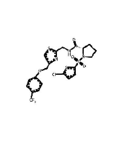 O=C(NCc1nc(COc2ccc(C(F)(F)F)cc2)cs1)[C@@H]1CCCN1S(=O)(=O)c1ccc(Cl)s1